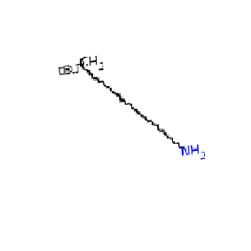 C=C(CCCCCCCCCCCCCCCCCCCCCCCCCCCCCCCCCCCCCCN)CC(C)(C)C